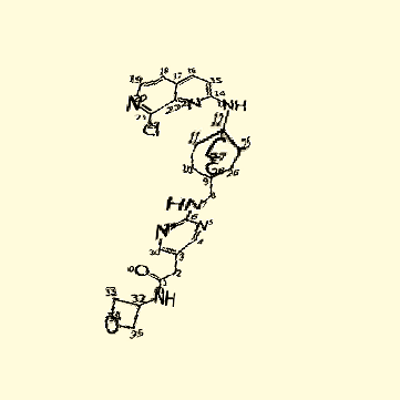 O=C(Cc1cnc(NCC23CCC(Nc4ccc5ccnc(Cl)c5n4)(CC2)CC3)nc1)NC1COC1